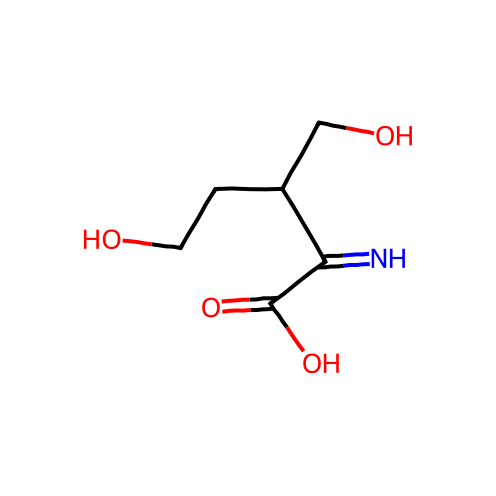 N=C(C(=O)O)C(CO)CCO